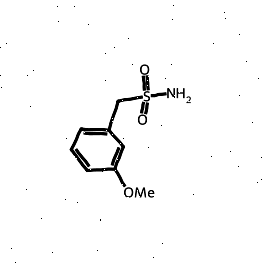 COc1cccc(CS(N)(=O)=O)c1